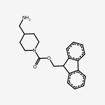 NCC1CCN(C(=O)OCC2c3ccccc3-c3ccccc32)CC1